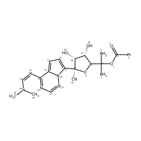 BC(B)(OC(=O)C(C)C)C1O[C@@](C#N)(c2ccc3c(/N=C\N(C)C)ncnn23)[C@H](O)[C@@H]1O